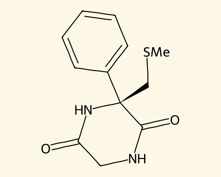 CSC[C@]1(c2ccccc2)NC(=O)CNC1=O